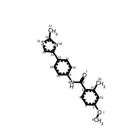 COc1ccc(C(=O)Nc2ccc(-c3csc(C)n3)cc2)c(C)c1